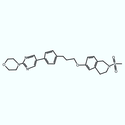 CS(=O)(=O)N1CCc2cc(OCCCc3ccc(-c4cnc(N5CCOCC5)nc4)cc3)ccc2C1